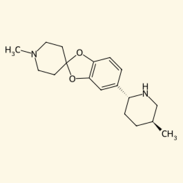 C[C@H]1CC[C@H](c2ccc3c(c2)OC2(CCN(C)CC2)O3)NC1